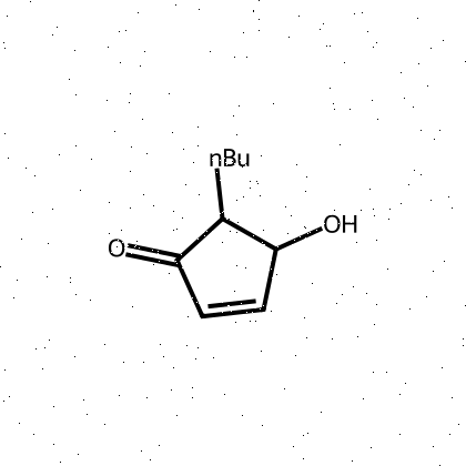 CCCCC1C(=O)C=CC1O